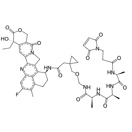 CC[C@@]1(O)C(=O)OCc2c1cc1n(c2=O)Cc2c-1nc1cc(F)c(C)c3c1c2[C@@H](NC(=O)CC1(COCNC(=O)[C@H](C)NC(=O)[C@H](C)NC(=O)[C@H](C)NC(=O)CCN2C(=O)C=CC2=O)CC1)CC3